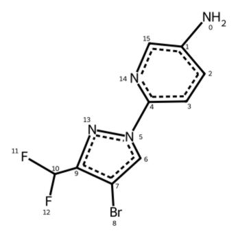 Nc1ccc(-n2cc(Br)c(C(F)F)n2)nc1